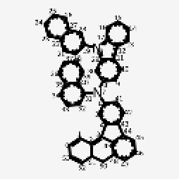 C1=CC2=C3c4cc(N(c5ccc6c7ccccc7n(-c7ccc8ccccc8c7)c6c5)c5cccc6ccccc56)ccc4-c4cccc(c43)CC2C=C1